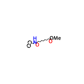 COC(=O)CCCCCCCC(=O)NCc1cccc2ccccc12